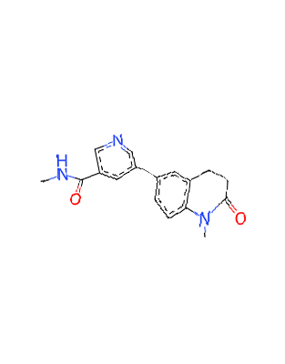 CNC(=O)c1cncc(-c2ccc3c(c2)CCC(=O)N3C)c1